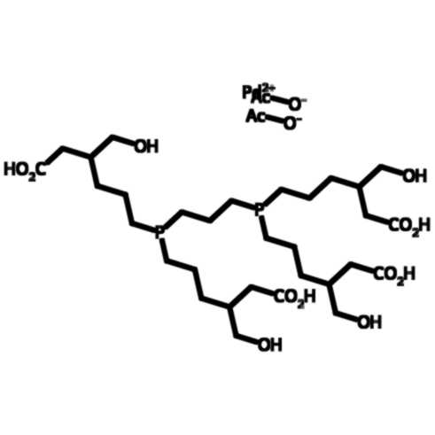 CC(=O)[O-].CC(=O)[O-].O=C(O)CC(CO)CCCP(CCCC(CO)CC(=O)O)CCCP(CCCC(CO)CC(=O)O)CCCC(CO)CC(=O)O.[Pd+2]